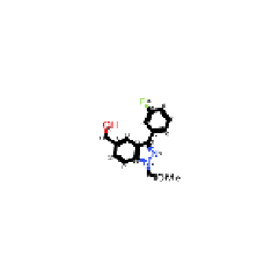 COCn1nc(-c2cccc(F)c2)c2cc(CO)ccc21